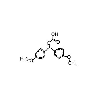 COc1ccc(C(OC(=O)O)c2ccc(OC)cc2)cc1